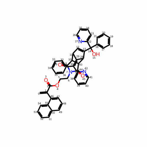 C=C(C(=O)OCCN1C(=O)C2C3C=C(C(O)(c4ccccc4)c4ccccn4)C(C3=C(c3ccccc3)c3ccccn3)C2C1=O)c1cccc2ccccc12